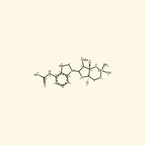 B[PH]1(O)OC[C@H]2OC(N3CNc4c(NC(=O)CCC)ncnc43)C(OC)[C@@H]2O1